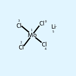 [Cl][Mo]([Cl])([Cl])[Cl].[Li]